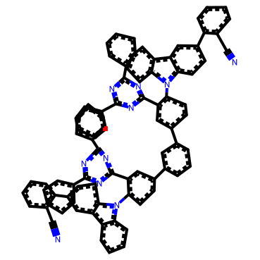 N#Cc1ccccc1-c1ccc2c(c1)c1ccccc1n2-c1ccc(-c2cccc(-c3ccc(-n4c5ccccc5c5cc(-c6ccccc6C#N)ccc54)c(-c4nc(-c5ccccc5)nc(-c5ccccc5)n4)c3)c2)cc1-c1nc(-c2ccccc2)nc(-c2ccccc2)n1